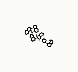 c1cc(-c2nc(-c3ccc(-c4cccc5cccnc45)cc3)c3ccccc3n2)c2cc(N3c4c(ccc5ccccc45)-c4cccc5cccc3c45)ccc2c1